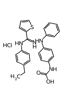 Cl.O=C(O)Nc1ccc(Nc2ccccc2)cc1.[CH2]Cc1ccc(NC(=N)c2cccs2)cc1